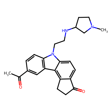 CC(=O)c1ccc2c(c1)c1c3c(ccc1n2CCNC1CCN(C)C1)C(=O)CC3